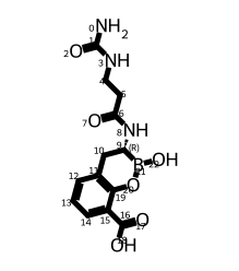 NC(=O)NCCC(=O)N[C@H]1Cc2cccc(C(=O)O)c2OB1O